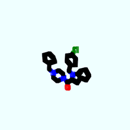 O=C(c1cc2ccccc2n1Cc1ccc(Cl)cc1)N1CCN(Cc2ccccc2)CC1